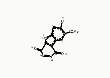 COc1cc2c3c([nH]c2cc1Cl)C(=O)N=NC3=O